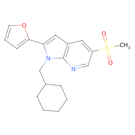 CS(=O)(=O)c1cnc2c(c1)cc(-c1ccco1)n2CC1CCCCC1